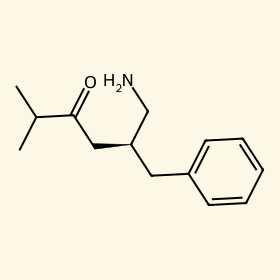 CC(C)C(=O)C[C@@H](CN)Cc1ccccc1